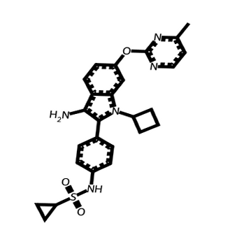 Cc1ccnc(Oc2ccc3c(N)c(-c4ccc(NS(=O)(=O)C5CC5)cc4)n(C4CCC4)c3c2)n1